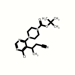 CC(CC#N)c1c(Cl)ncnc1N1CCN(C(=O)OC(C)(C)C)CC1